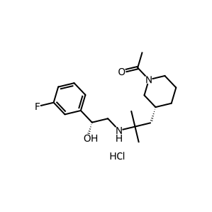 CC(=O)N1CCC[C@H](CC(C)(C)NC[C@H](O)c2cccc(F)c2)C1.Cl